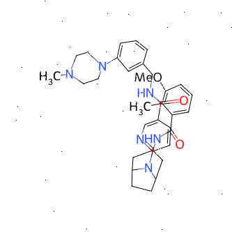 COc1cccc(C(=O)NC2CC3CCC(C2)N3c2ccc(C(=O)NCc3cccc(N4CCN(C)CC4)c3)cn2)c1C